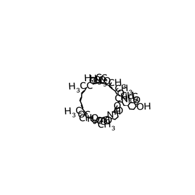 CO[C@H]1C[C@@H]2CC[C@@H](C)[C@@](O)(O2)C(=O)C(=O)N2CCCC[C@H]2C(=O)O[C@H]([C@H](N)C[C@@H]2CC[C@@H](O)[C@H](OC)C2)C[C@@H](OC)[C@H](C)/C=C(\C)[C@@H](OC)[C@@H](OC)C(=O)[C@H](C)C[C@H](C)/C=C/C=C/C=C/1C